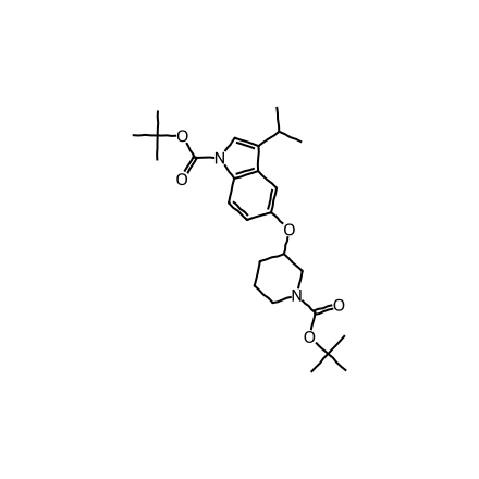 CC(C)c1cn(C(=O)OC(C)(C)C)c2ccc(OC3CCCN(C(=O)OC(C)(C)C)C3)cc12